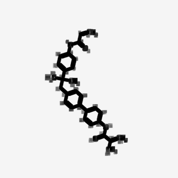 C=CC(=O)Oc1ccc(C(C)(C)Cc2ccc(-c3ccc(OC(=O)C(=C)C)cc3)cc2)cc1